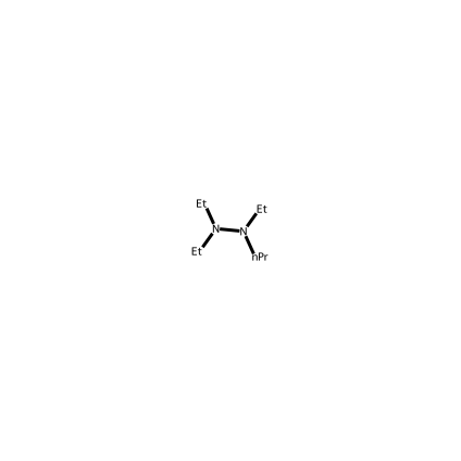 CCCN(CC)N(CC)CC